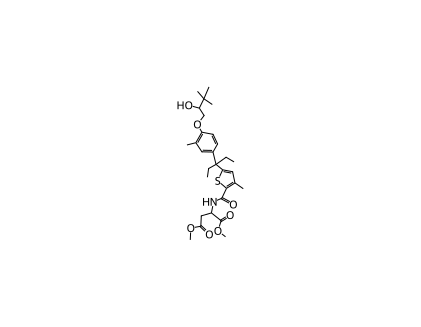 CCC(CC)(c1ccc(OCC(O)C(C)(C)C)c(C)c1)c1cc(C)c(C(=O)NC(CC(=O)OC)C(=O)OC)s1